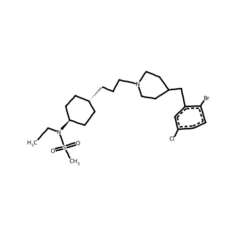 CCN([C@H]1CC[C@H](CCCN2CCC(Cc3cc(Cl)ccc3Br)CC2)CC1)S(C)(=O)=O